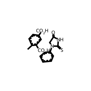 Cc1ccc(C(=O)O)cc1C(=O)O.O=C1CN(c2ccccc2)C(=S)N1